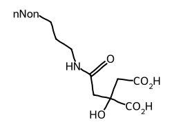 CCCCCCCCCCCCNC(=O)CC(O)(CC(=O)O)C(=O)O